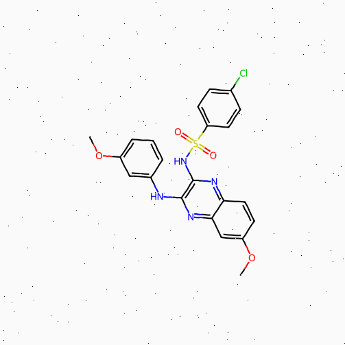 COc1cccc(Nc2nc3cc(OC)ccc3nc2NS(=O)(=O)c2ccc(Cl)cc2)c1